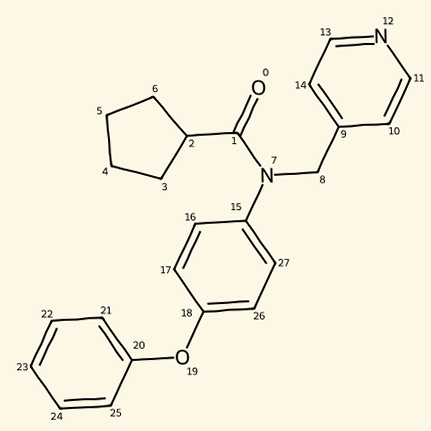 O=C(C1CCCC1)N(Cc1ccncc1)c1ccc(Oc2ccccc2)cc1